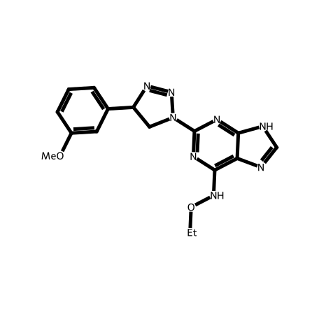 CCONc1nc(N2CC(c3cccc(OC)c3)N=N2)nc2[nH]cnc12